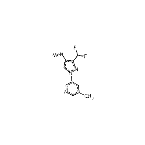 CNc1cn(-c2cncc(C)c2)nc1C(F)F